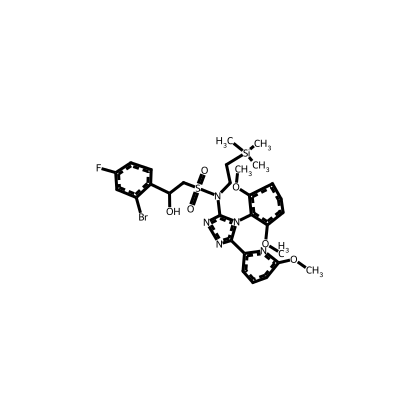 COc1cccc(-c2nnc(N(CC[Si](C)(C)C)S(=O)(=O)CC(O)c3ccc(F)cc3Br)n2-c2c(OC)cccc2OC)n1